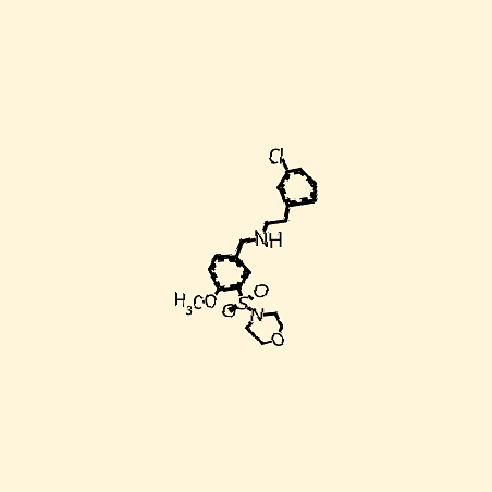 COc1ccc(CNCCc2cccc(Cl)c2)cc1S(=O)(=O)N1CCOCC1